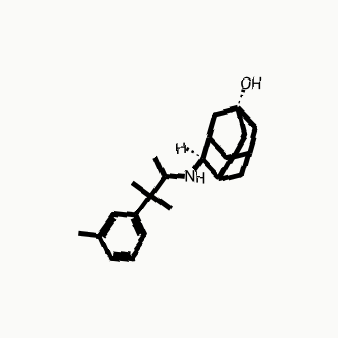 Cc1cccc(C(C)(C)C(C)N[C@H]2C3CC4CC2C[C@](O)(C4)C3)c1